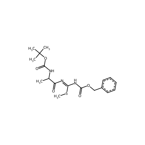 CSC(=NC(=O)C(C)NC(=O)OC(C)(C)C)NC(=O)OCc1ccccc1